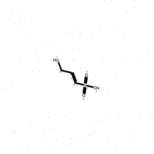 O=S(=O)(O)/C=C/CO